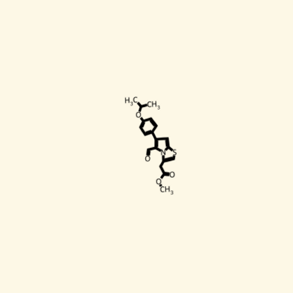 COC(=O)Cc1csc2cc(-c3ccc(OC(C)C)cc3)c(C=O)n12